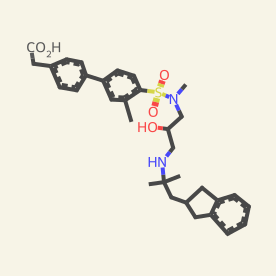 Cc1cc(-c2ccc(CC(=O)O)cc2)ccc1S(=O)(=O)N(C)CC(O)CNC(C)(C)CC1Cc2ccccc2C1